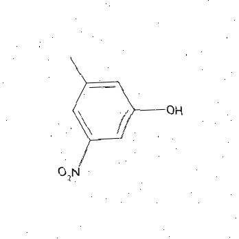 Cc1cc(O)cc([N+](=O)[O-])c1